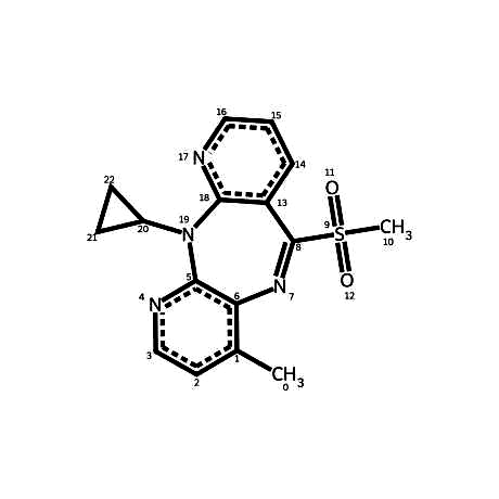 Cc1ccnc2c1N=C(S(C)(=O)=O)c1cccnc1N2C1CC1